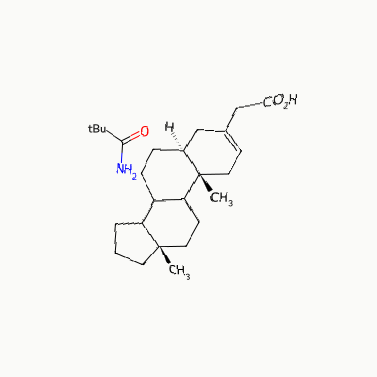 CC(C)(C)C(N)=O.C[C@@]12CCCC1C1CC[C@H]3CC(CC(=O)O)=CC[C@]3(C)C1CC2